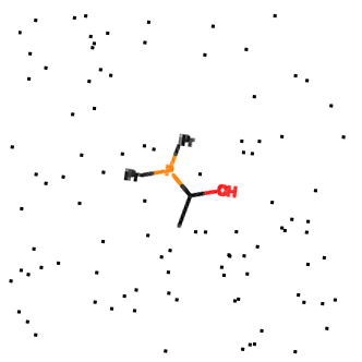 CC(C)P(C(C)C)C(C)O